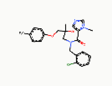 Cn1cncc1C(=O)N(Cc1ccccc1Cl)CC(C)(O)COc1ccc(C(F)(F)F)cc1